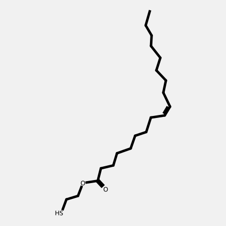 CCCCCCCC/C=C\CCCCCCCC(=O)OCCS